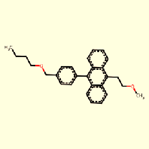 CCCCOCc1ccc(-c2c3ccccc3c(CCOC)c3ccccc23)cc1